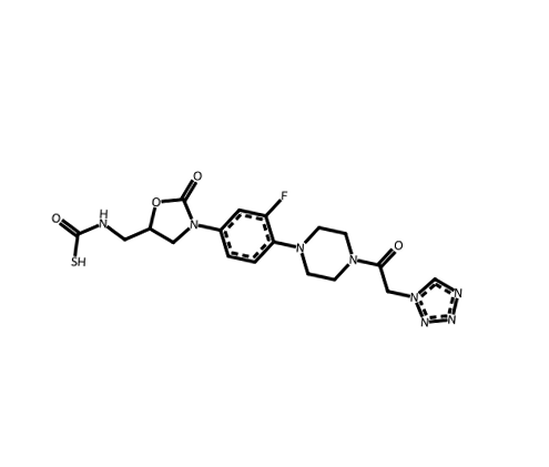 O=C(S)NCC1CN(c2ccc(N3CCN(C(=O)Cn4cnnn4)CC3)c(F)c2)C(=O)O1